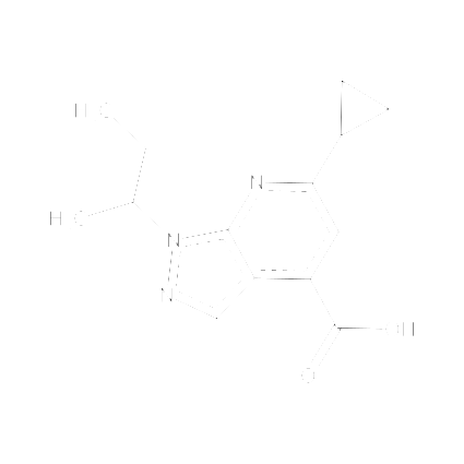 CCC(C)n1ncc2c(C(=O)O)cc(C3CC3)nc21